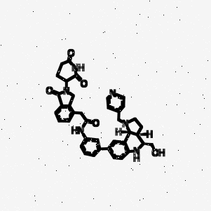 O=C1CCC(N2Cc3c(CC(=O)Nc4cccc(-c5ccc6c(c5)[C@H]5[C@H](CCN5Cc5ccncc5)[C@@H](CO)N6)c4)cccc3C2=O)C(=O)N1